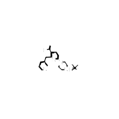 C=C(F)c1ccc(N2CCN[C@H](CC(C)(C)F)C2)nc1C(=O)c1cccnc1